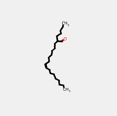 CCCCCCCC/C=C\CCCCCCC([C]=O)CCCCC